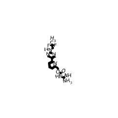 CC(F)(F)CNc1ncc(-c2cccc(COC(=O)NC(=N)N)n2)cn1